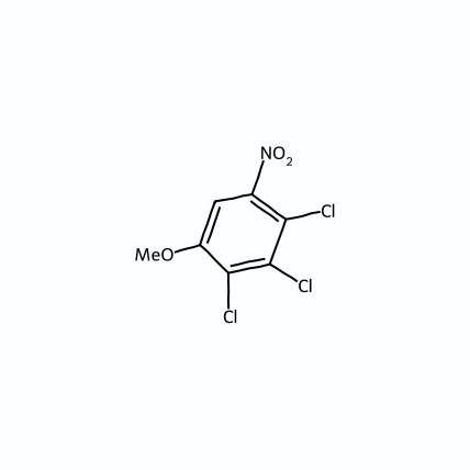 COc1cc([N+](=O)[O-])c(Cl)c(Cl)c1Cl